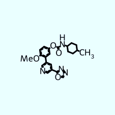 COc1ccc(OC(=O)NC2CCC(C)CC2)cc1-c1cncc(-c2nnco2)c1